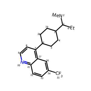 CCC(NC)C1CCC(c2ccnc3ccc(C(F)(F)F)cc23)CC1